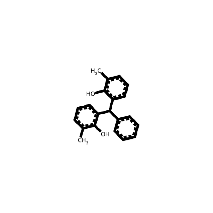 Cc1cccc(C(c2ccccc2)c2cccc(C)c2O)c1O